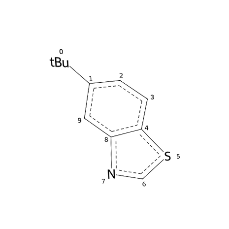 CC(C)(C)c1ccc2scnc2c1